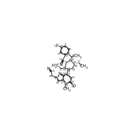 CC[C@H]1CN(C(C)c2ccc(F)cc2C#N)[C@H](CC)CN1c1cc(=O)n(C)c2cn(CC#N)nc12